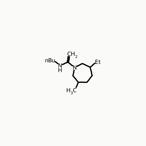 C=C(NCCCC)N1CC(C)CCC(CC)C1